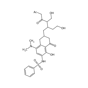 CC(=O)CC(=O)C(CO)C(CCO)CC1CC(=O)c2c(O)c(NS(=O)(=O)c3ccccc3)cc(N(C)C)c2C1